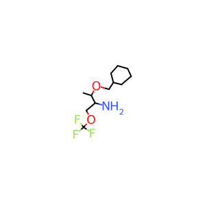 CC(OCC1CCCCC1)C(N)COC(F)(F)F